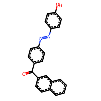 O=C(c1ccc(N=Nc2ccc(O)cc2)cc1)c1ccc2ccccc2c1